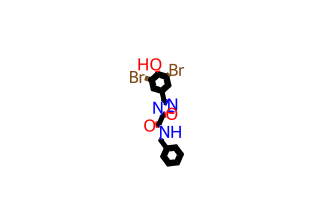 O=C(NCc1ccccc1)c1nc(-c2cc(Br)c(O)c(Br)c2)no1